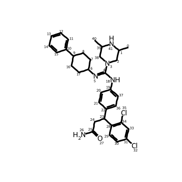 CC1CN(/C(=N\C2CCC(c3ccccc3)CC2)Nc2ccc(C(CC(N)=O)c3ccc(Cl)cc3Cl)cc2)CC(C)N1